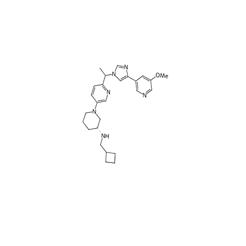 COc1cncc(-c2cn(C(C)c3ccc(N4CCC[C@@H](NCC5CCC5)C4)cn3)cn2)c1